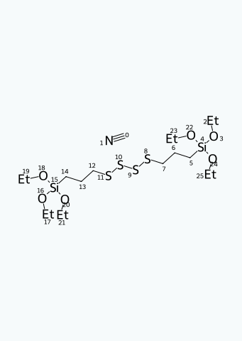 C#N.CCO[Si](CCCSSSSCCC[Si](OCC)(OCC)OCC)(OCC)OCC